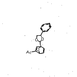 CC(=O)C1CC2(C3OCC(c4ccccc4)O3)C=CC1O2